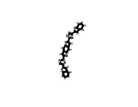 c1ccc2sc(-c3cnc(-c4cc5cc6sc(-c7ncc(-c8cc9ccccc9s8)s7)cc6cc5s4)s3)cc2c1